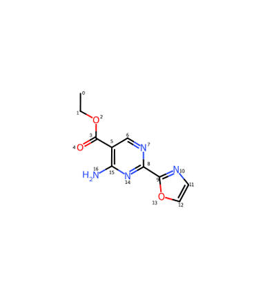 CCOC(=O)c1cnc(-c2ncco2)nc1N